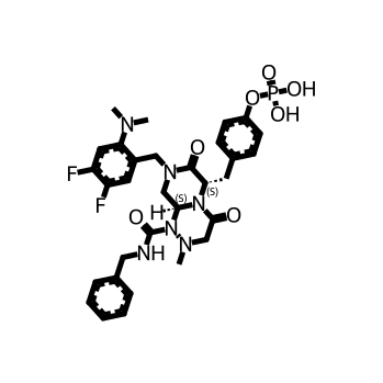 CN(C)c1cc(F)c(F)cc1CN1C[C@H]2N(C(=O)CN(C)N2C(=O)NCc2ccccc2)[C@@H](Cc2ccc(OP(=O)(O)O)cc2)C1=O